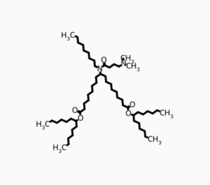 CCCCCCCCCN(C(=O)CCCN(C)C)C(CCCCCCCCC(=O)OC(CCCCCC)CCCCCC)CCCCCCCCC(=O)OC(CCCCCC)CCCCCC